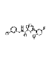 COc1ccc(F)cc1N(C=O)C(C)C(=O)C(=O)NCc1cccc(Cl)c1